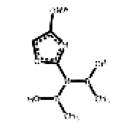 COc1coc(N(B(C)O)B(C)O)n1